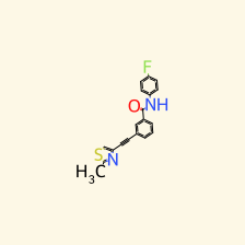 Cc1nc(C#Cc2cccc(C(=O)Nc3ccc(F)cc3)c2)cs1